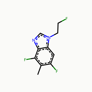 Cc1c(F)cc2c(ncn2CCF)c1F